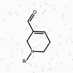 O=CC1=CCCN(Br)C1